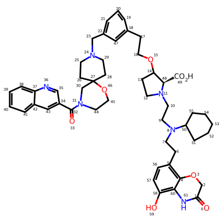 O=C1COc2c(CCN(CCN3CCC(OCCc4cccc(CN5CCC6(CC5)CN(C(=O)c5cnc7ccccc7c5)CCO6)c4)[C@H]3C(=O)O)C3CCCCC3)ccc(O)c2N1